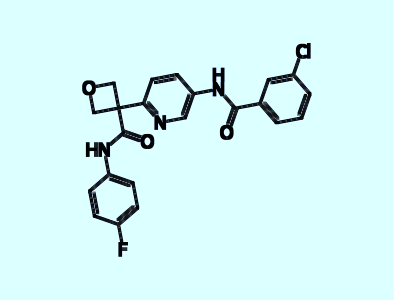 O=C(Nc1ccc(C2(C(=O)Nc3ccc(F)cc3)COC2)nc1)c1cccc(Cl)c1